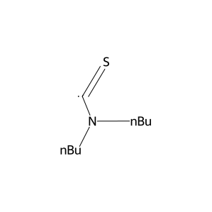 CCCCN([C]=S)CCCC